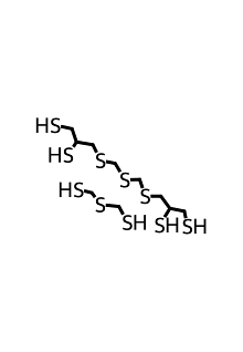 SCC(S)CSCSCSCC(S)CS.SCSCS